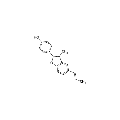 C/C=C/c1ccc2c(c1)C(C)C(c1ccc(O)cc1)O2